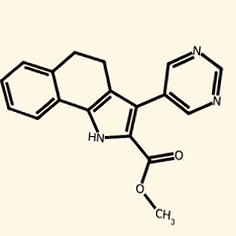 COC(=O)c1[nH]c2c(c1-c1cncnc1)CCc1ccccc1-2